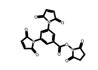 O=C(ON1C(=O)CCC1=O)c1cc(N2C(=O)C=CC2=O)cc(N2C(=O)C=CC2=O)c1